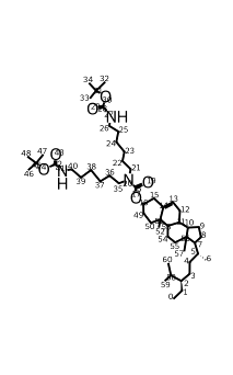 CC[C@H](CC[C@@H](C)C1CCC2C3CC=C4CC(OC(=O)N(CCCCCCNC(=O)OC(C)(C)C)CCCCCCNC(=O)OC(C)(C)C)CCC4(C)C3CCC21C)C(C)C